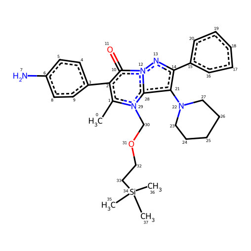 Cc1c(-c2ccc(N)cc2)c(=O)n2nc(-c3ccccc3)c(N3CCCCC3)c2n1COCC[Si](C)(C)C